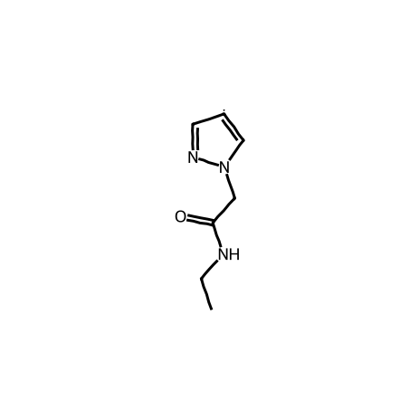 CCNC(=O)Cn1c[c]cn1